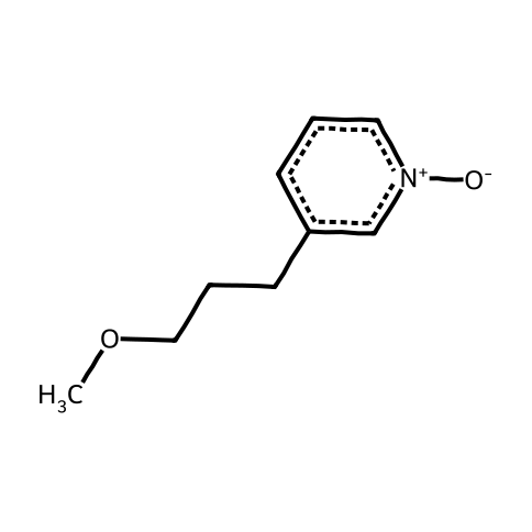 COCCCc1ccc[n+]([O-])c1